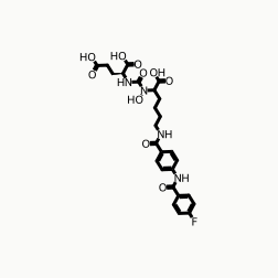 O=C(O)CC[C@H](NC(=O)N(O)C(CCCCNC(=O)c1ccc(NC(=O)c2ccc(F)cc2)cc1)C(=O)O)C(=O)O